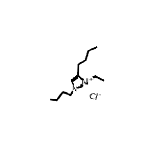 CCCCc1cn(CCCC)c[n+]1CC.[Cl-]